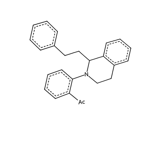 CC(=O)c1ccccc1N1CCc2ccccc2C1CCc1ccccc1